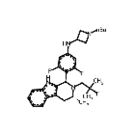 CCCCN1CC(Nc2cc(F)c([C@@H]3c4[nH]c5ccccc5c4C[C@@H](C)N3CC(C)(C)F)c(F)c2)C1